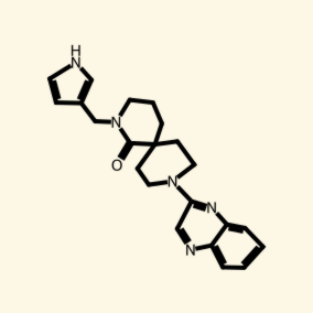 O=C1N(Cc2cc[nH]c2)CCCC12CCN(c1cnc3ccccc3n1)CC2